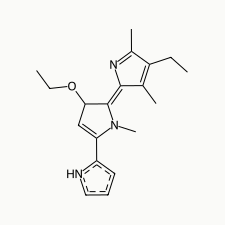 CCOC1C=C(c2ccc[nH]2)N(C)C1=C1N=C(C)C(CC)=C1C